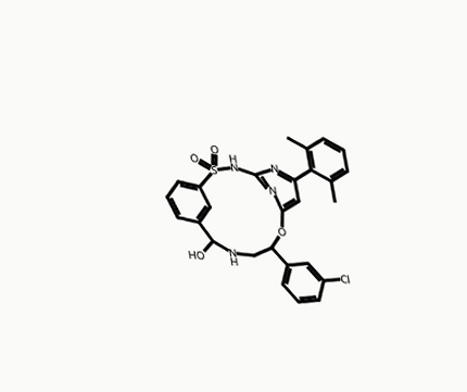 Cc1cccc(C)c1-c1cc2nc(n1)NS(=O)(=O)c1cccc(c1)C(O)NCC(c1cccc(Cl)c1)O2